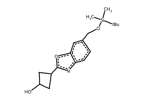 CC(C)(C)[Si](C)(C)OCc1ccc2nc(C3CC(O)C3)oc2c1